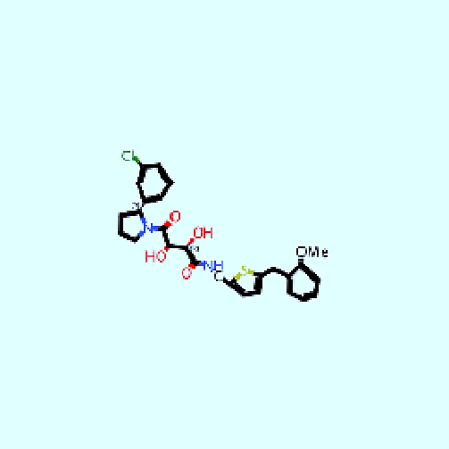 COc1ccccc1Cc1ccc(CNC(=O)[C@H](O)C(O)C(=O)N2CCC[C@@H]2c2cccc(Cl)c2)s1